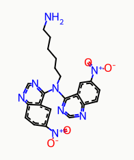 NCCCCCCN(c1ncnc2ccc([N+](=O)[O-])cc12)c1ncnc2ccc([N+](=O)[O-])cc12